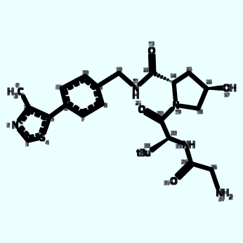 Cc1ncsc1-c1ccc(CNC(=O)[C@@H]2C[C@@H](O)CN2C(=O)[C@@H](NC(=O)CN)C(C)(C)C)cc1